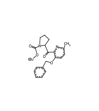 Cc1ccc(OCc2ccccc2)c(C(=O)C2CCCN2C(=O)OC(C)(C)C)n1